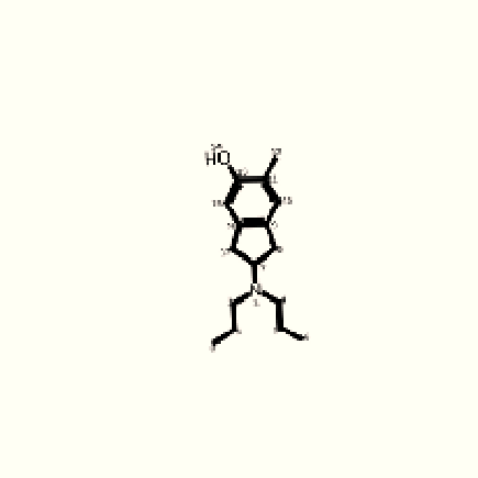 CCCN(CCC)C1Cc2cc(C)c(O)cc2C1